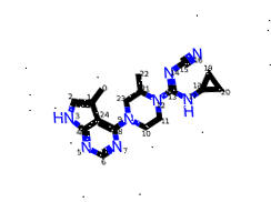 Cc1c[nH]c2ncnc(N3CCN(C(=NC#N)NC4CC4)C(C)C3)c12